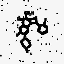 CN1CCN(c2cc3c(cc2F)c(=O)c(C(=O)O)c2n3C(c3ccccc3F)S2)CC1